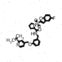 CN(C)c1cc(COc2cccc(CNC(=O)C3CCCN3S(=O)(=O)c3cc4cc(F)ccc4o3)c2)ccn1